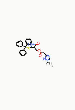 Cn1cnc(CC(=O)OCC2C(=O)NC2SC(c2ccccc2)(c2ccccc2)c2ccccc2)n1